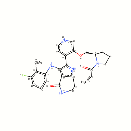 C=CC(=O)N1CCC[C@@H]1COc1cnccc1-c1[nH]c2c(c1Nc1cccc(F)c1OC)C(=O)NCC2